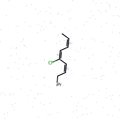 C\C=C/C=C(Cl)\C=C/CC(C)C